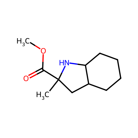 COC(=O)C1(C)CC2CCCCC2N1